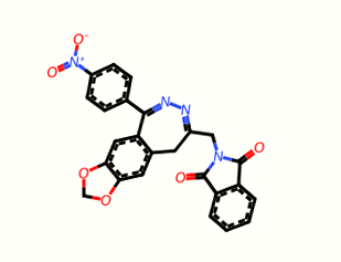 O=C1c2ccccc2C(=O)N1CC1=NN=C(c2ccc([N+](=O)[O-])cc2)c2cc3c(cc2C1)OCO3